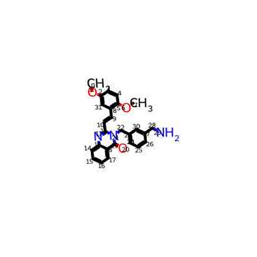 COc1ccc(OC)c(/C=C/c2nc3ccccc3c(=O)n2Cc2cccc(CN)c2)c1